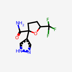 NC(=O)C1(c2cn[nH]c2)CCC(C(F)(F)F)O1